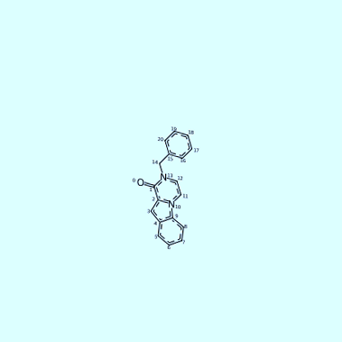 O=c1c2cc3ccccc3n2ccn1Cc1ccccc1